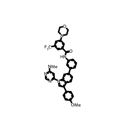 CNc1cc(-n2cc(-c3ccc(OC)cc3)c3ccc(-c4cccc(NC(=O)c5cc(N6CCOCC6)cc(C(F)(F)F)c5)c4)cc32)ncn1